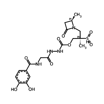 C[C@@H]1CC(=O)N1C[C@](C)(COC(=O)NNC(=O)CNC(=O)c1ccc(O)c(O)c1)[SH](=O)=O